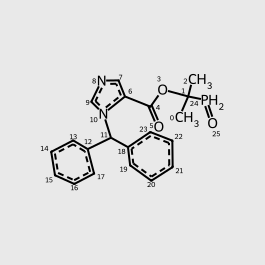 CC(C)(OC(=O)c1cncn1C(c1ccccc1)c1ccccc1)[PH2]=O